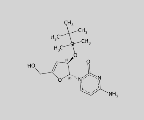 CC(C)(C)[Si](C)(C)O[C@@H]1C=C(CO)O[C@H]1n1ccc(N)nc1=O